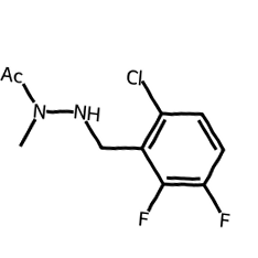 CC(=O)N(C)NCc1c(Cl)ccc(F)c1F